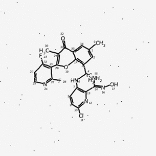 Cc1cc(C(C)Nc2ccc(Cl)nc2C(N)=NO)c2oc(-c3c(F)ccnc3F)c(C)c(=O)c2c1